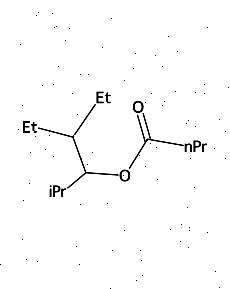 CCCC(=O)OC(C(C)C)C(CC)CC